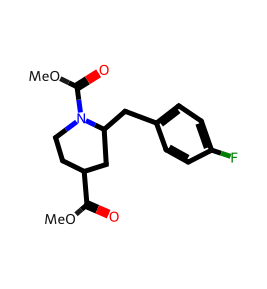 COC(=O)C1CCN(C(=O)OC)C(Cc2ccc(F)cc2)C1